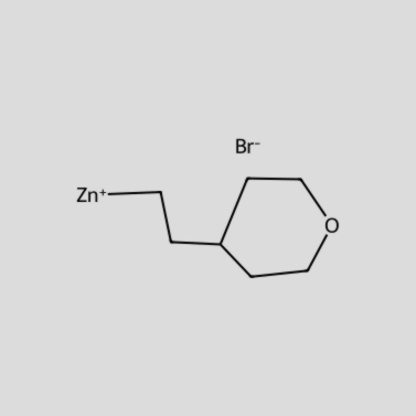 [Br-].[Zn+][CH2]CC1CCOCC1